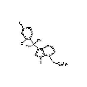 CCC(CC)(c1ccc(Cl)cc1F)c1c[nH]c2c(CSC)cccc12